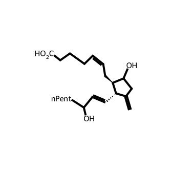 C=C1CC(O)[C@H](C/C=C\CCCC(=O)O)[C@H]1/C=C/C(O)CCCCC